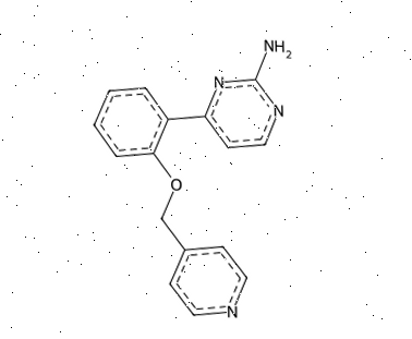 Nc1nccc(-c2ccccc2OCc2ccncc2)n1